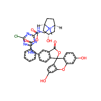 C[N+]1(CNc2nc(Cl)nc(Nc3ccc4c(c3)C(=O)OC43c4ccc(O)cc4Oc4cc(O)ccc43)n2)[C@H]2CC[C@@H]1[C@@H](C(=O)OC(=O)c1ccccc1)[C@@H](O)C2